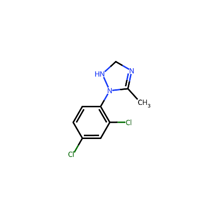 CC1=NCNN1c1ccc(Cl)cc1Cl